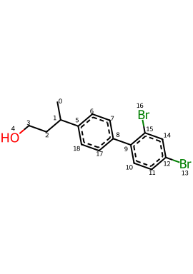 CC(CCO)c1ccc(-c2ccc(Br)cc2Br)cc1